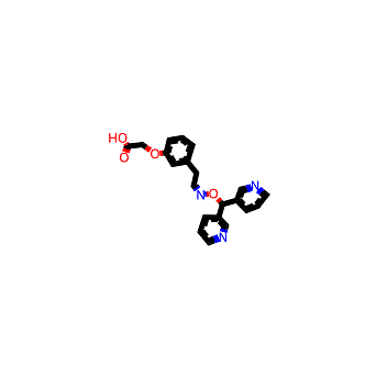 O=C(O)COc1cccc(C/C=N\OC(c2cccnc2)c2cccnc2)c1